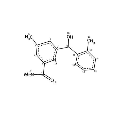 CNC(=O)c1cc(C)cc(C(O)c2ccccc2C)n1